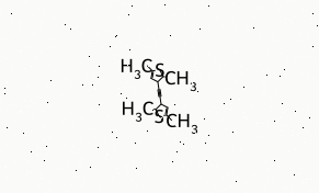 CC1=CC(C#CC2C=C(C)SC2C)C(C)S1